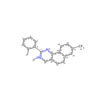 Cc1ccccc1-c1nc2c(ccc3cc(C(F)(F)F)ccc32)c[n+]1C